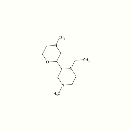 CCN1CCN(C)CC1C1CN(C)CCO1